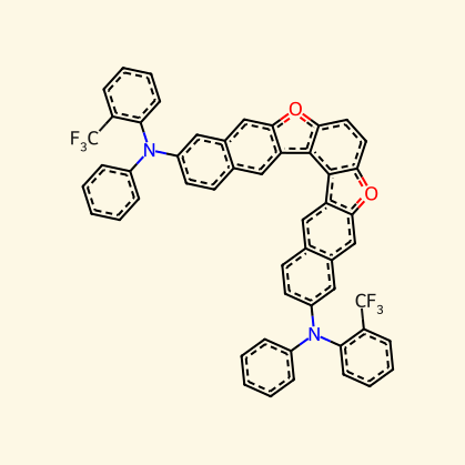 FC(F)(F)c1ccccc1N(c1ccccc1)c1ccc2cc3c(cc2c1)oc1ccc2oc4cc5cc(N(c6ccccc6)c6ccccc6C(F)(F)F)ccc5cc4c2c13